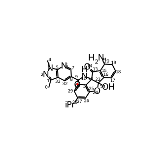 Cc1nn(C)c2ncc(C(=O)NC34C(=O)C5=C(C=CCC5N)C3(O)Oc3cc(C(C)C)ccc34)cc12